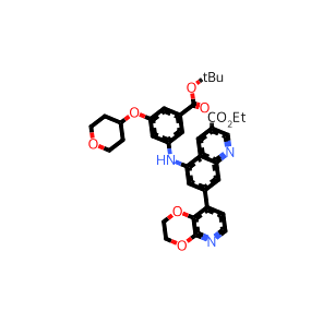 CCOC(=O)c1cnc2cc(-c3ccnc4c3OCCO4)cc(Nc3cc(OC4CCOCC4)cc(C(=O)OC(C)(C)C)c3)c2c1